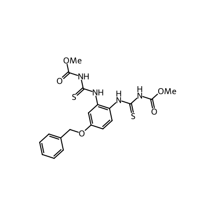 COC(=O)NC(=S)Nc1ccc(OCc2ccccc2)cc1NC(=S)NC(=O)OC